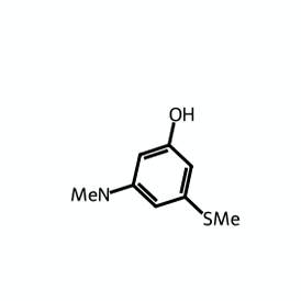 CNc1cc(O)cc(SC)c1